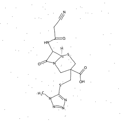 Cn1nnnc1SCC1(C(=O)O)CS[C@@H]2C(NC(=O)CC#N)C(=O)N2C1